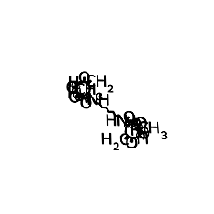 C=C1CC[C@H](C(=O)NCCCCCCCCNC(=O)[C@H]2CCC(=C)C(=O)C[C@@H]3O[C@]3(C)[C@H]3OCC[C@@H]23)[C@@H]2CCO[C@@H]2[C@@]2(C)O[C@H]2CC1=O